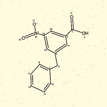 O=C(O)c1cc(Cc2ccccc2)cc([N+](=O)[O-])c1